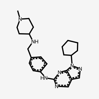 CN1CCC(NCc2ccc(Nc3ncc4cnn(C5CCCCC5)c4n3)cc2)CC1